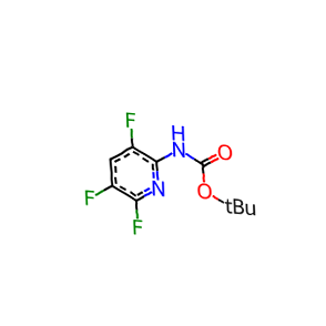 CC(C)(C)OC(=O)Nc1nc(F)c(F)cc1F